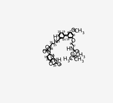 COc1cc(OCCNC(=O)OC(C)(C)C)cc(-c2cccc(CNCCC3CN(c4ccc5c(n4)NC(=O)CO5)C(=O)O3)c2)c1